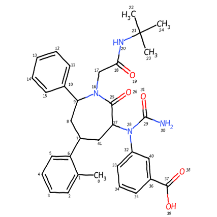 Cc1ccccc1C1CC(c2ccccc2)N(CC(=O)NC(C)(C)C)C(=O)C(N(C(N)=O)c2cccc(C(=O)O)c2)C1